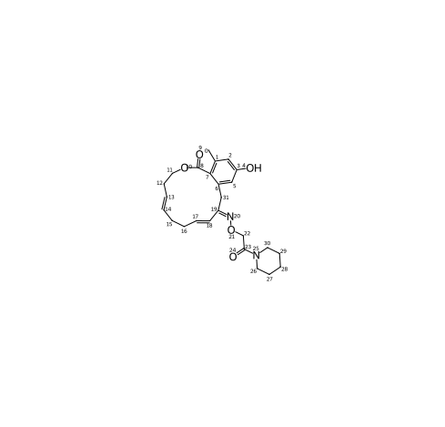 Cc1cc(O)cc2c1C(=O)OCC/C=C/CC/C=C/C(=N\OCC(=O)N1CCCCC1)C2